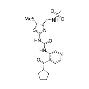 CSc1sc(NC(=O)Nc2cnccc2C(=O)C2CCCC2)nc1CNS(C)(=O)=O